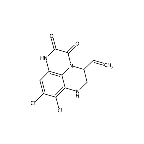 C=CC1CNc2c(Cl)c(Cl)cc3[nH]c(=O)c(=O)n1c23